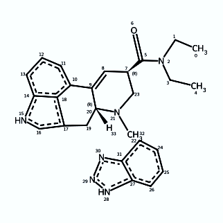 CCN(CC)C(=O)[C@@H]1C=C2c3cccc4[nH]cc(c34)C[C@H]2N(C)C1.c1ccc2[nH]nnc2c1